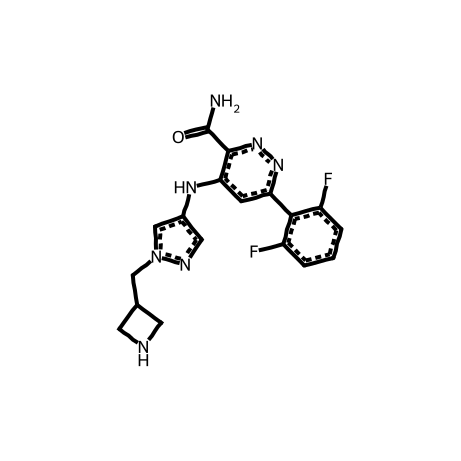 NC(=O)c1nnc(-c2c(F)cccc2F)cc1Nc1cnn(CC2CNC2)c1